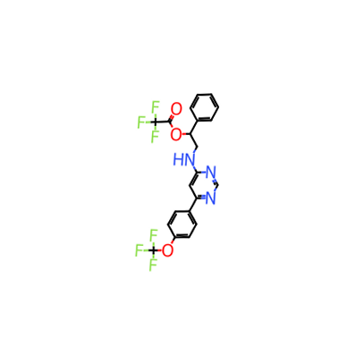 O=C(OC(CNc1cc(-c2ccc(OC(F)(F)F)cc2)ncn1)c1ccccc1)C(F)(F)F